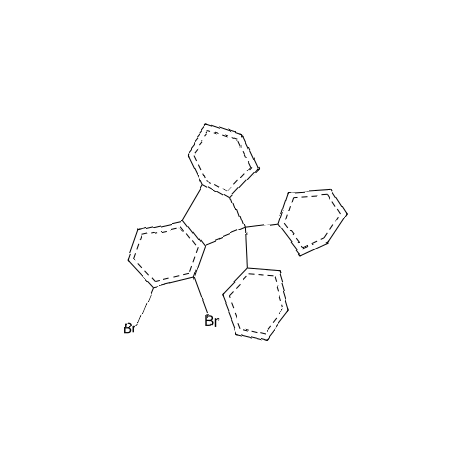 Brc1ccc2c(c1Br)C(c1ccccc1)(c1ccccc1)c1ccccc1-2